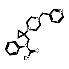 CCC(=O)N(CC1(N2CCN(Cc3cccnc3)CC2)CC1)c1ccccc1